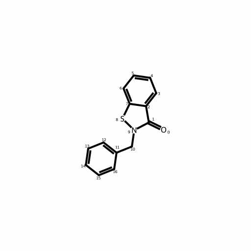 O=c1c2ccccc2sn1Cc1ccccc1